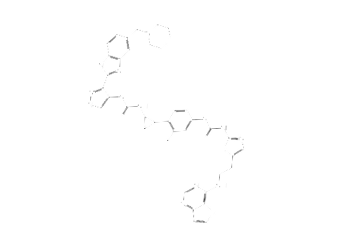 O=C(Nc1ccc(C2CC2NC(=O)Nc2c[nH]nc2-c2nc3cc(CN4CCOCC4)ccc3[nH]2)c(Cl)c1)Nc1ncc(CCNc2ncnc3ccsc23)s1